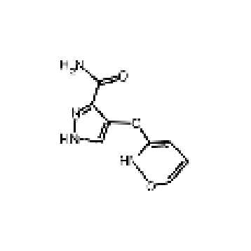 NC(=O)c1n[nH]cc1OC1=CC=CON1